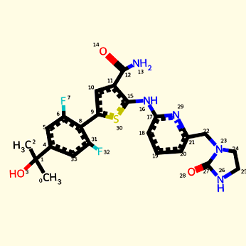 CC(C)(O)c1cc(F)c(-c2cc(C(N)=O)c(Nc3cccc(CN4CCNC4=O)n3)s2)c(F)c1